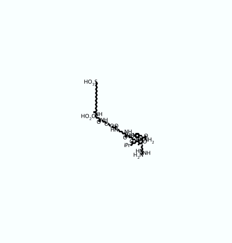 C=C(CCCCCCCCCCCCCCCS(=O)(=O)O)N[C@@H](CCC(=O)NCCOCCOCC(=O)NCCCC[C@H](N)C(=O)NCCCC[C@H](CC(=O)CC(C)C)C(=O)C(C)[C@@H](CCCNC(=N)N)C(=O)N[C@@H](Cc1ccc(O)cc1)C(N)=O)C(=O)O